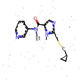 CCN(C(=O)c1cnc(CSCC2CC2)n1C)c1cccnc1